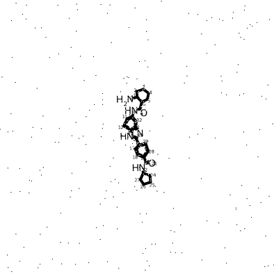 NC1CCCCC1C(=O)Nc1ccc2[nH]c(-c3ccc(C(=O)NC4CCCC4)cc3)nc2c1